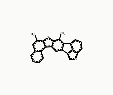 Cc1c2c(cc3c1sc1c(C)cc4ccccc4c13)-c1csc3cccc-2c13